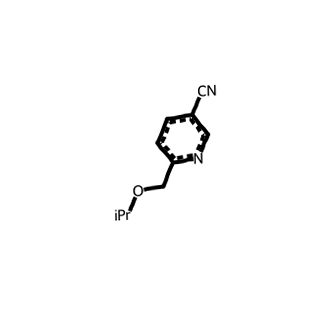 CC(C)OCc1ccc(C#N)cn1